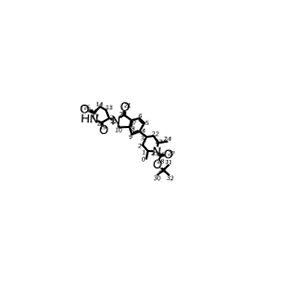 CC1CC(c2ccc3c(c2)CN(C2CCC(=O)NC2=O)C3=O)CC(C)N1C(=O)OC(C)(C)C